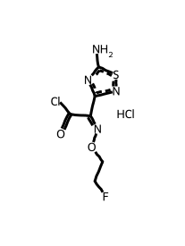 Cl.Nc1nc(C(=NOCCF)C(=O)Cl)ns1